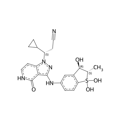 C[C@H]1[C@H](O)c2cc(Nc3nn([C@@H](CC#N)C4CC4)c4cc[nH]c(=O)c34)ccc2S1(O)O